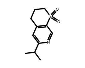 CC(C)c1cc2c(cn1)S(=O)(=O)CCC2